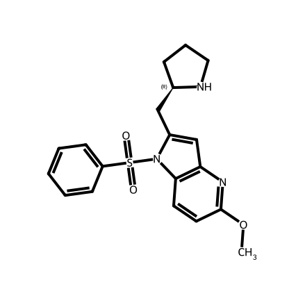 COc1ccc2c(cc(C[C@H]3CCCN3)n2S(=O)(=O)c2ccccc2)n1